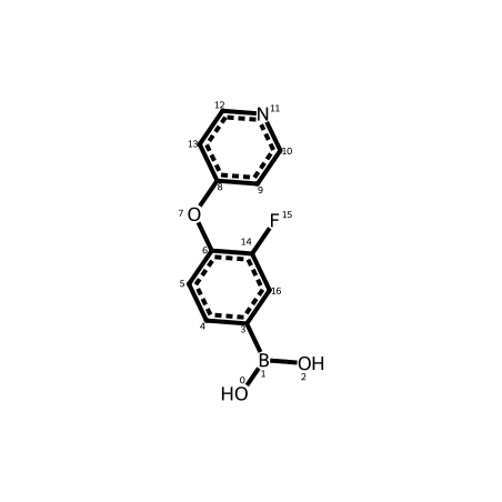 OB(O)c1ccc(Oc2ccncc2)c(F)c1